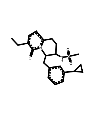 CCc1ccc2n(c1=O)C(Cc1cccc(C3CC3)c1)C(NS(C)(=O)=O)CC2